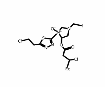 CCC(Cl)CC(=O)OC1CN(CI)C[N+]1([O-])c1nnc(CCCl)s1